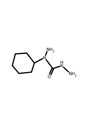 NNC(=O)N(N)C1CCCCC1